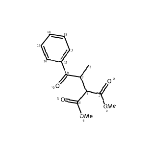 COC(=O)C(C(=O)OC)C(C)C(=O)c1ccccc1